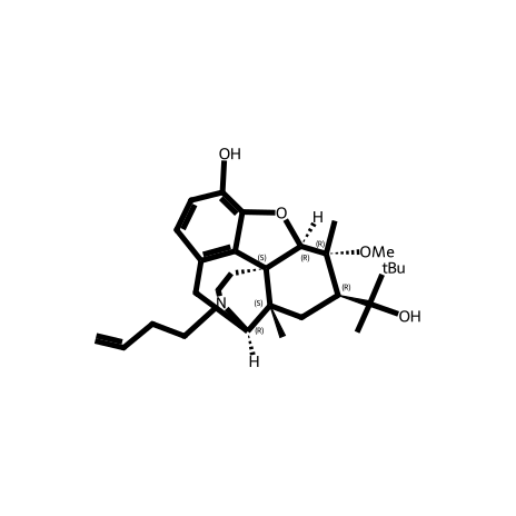 C=CCCN1CC[C@]23c4c5ccc(O)c4O[C@H]2[C@](C)(OC)[C@@H](C(C)(O)C(C)(C)C)C[C@]3(C)[C@H]1C5